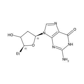 CC[C@@H]1O[C@H](n2cnc3c(=O)[nH]c(N)nc32)CC1O